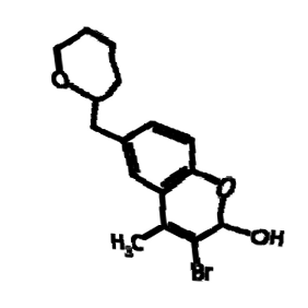 CC1=C(Br)C(O)Oc2ccc(CC3CCCCO3)cc21